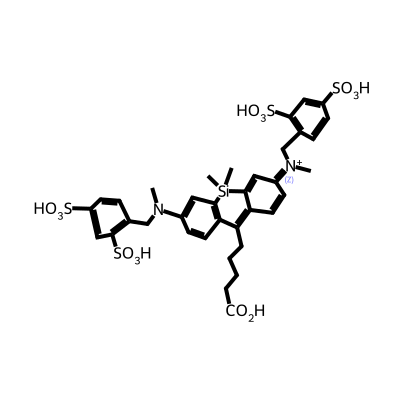 CN(Cc1ccc(S(=O)(=O)O)cc1S(=O)(=O)O)c1ccc2c(c1)[Si](C)(C)C1=C/C(=[N+](/C)Cc3ccc(S(=O)(=O)O)cc3S(=O)(=O)O)C=CC1=C2CCCCC(=O)O